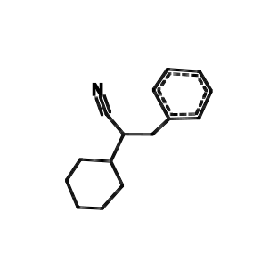 N#CC(Cc1ccccc1)C1CCCCC1